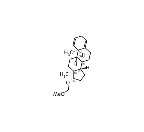 COCO[C@H]1CC[C@H]2[C@@H]3CCC4=CCC=C[C@]4(C)[C@H]3CC[C@]12C